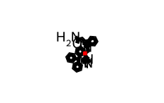 NC(=O)Cc1nn(CCc2nnnn2C(c2ccccc2)(c2ccccc2)c2ccccc2)c2ccccc12